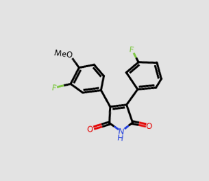 COc1ccc(C2=C(c3cccc(F)c3)C(=O)NC2=O)cc1F